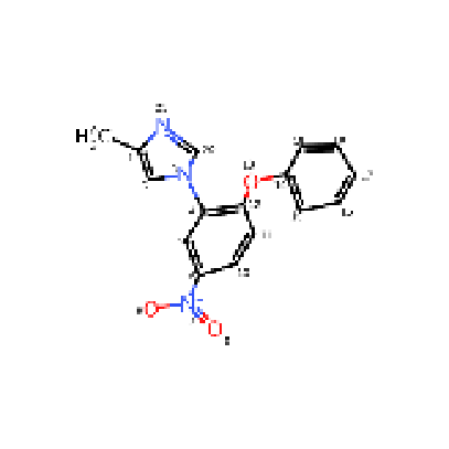 Cc1cn(-c2cc([N+](=O)[O-])ccc2Oc2ccccc2)cn1